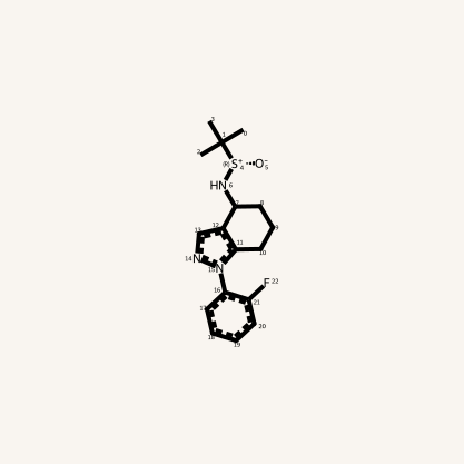 CC(C)(C)[S@+]([O-])NC1CCCc2c1cnn2-c1ccccc1F